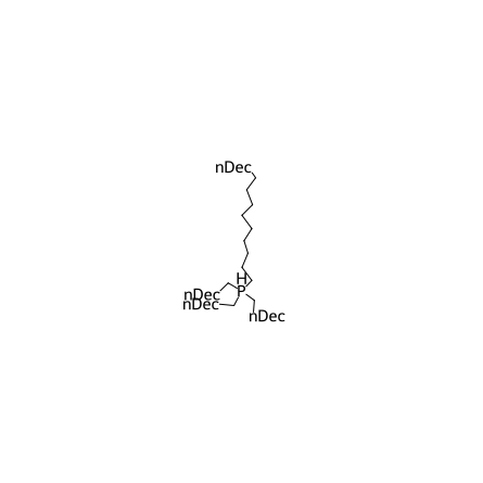 CCCCCCCCCCCCCCCCCCC[PH](CCCCCCCCCCC)(CCCCCCCCCCC)CCCCCCCCCCC